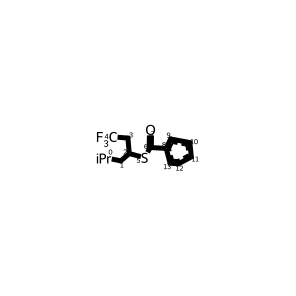 CC(C)CC(CC(F)(F)F)SC(=O)c1ccccc1